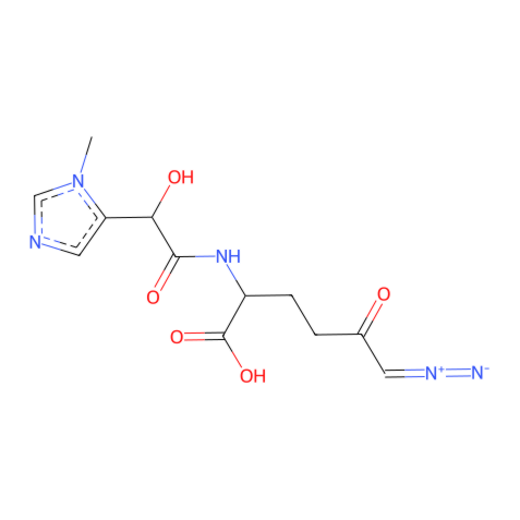 Cn1cncc1C(O)C(=O)NC(CCC(=O)C=[N+]=[N-])C(=O)O